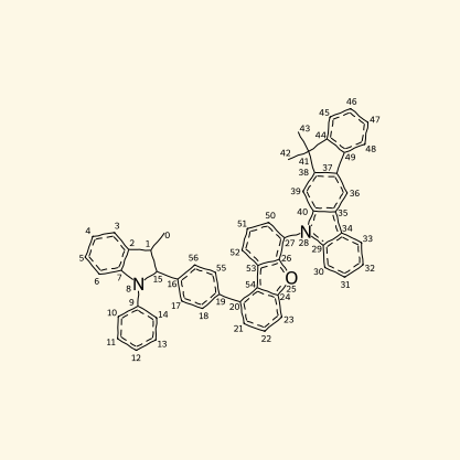 CC1c2ccccc2N(c2ccccc2)C1c1ccc(-c2cccc3oc4c(-n5c6ccccc6c6cc7c(cc65)C(C)(C)c5ccccc5-7)cccc4c23)cc1